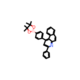 CC1(C)OB(c2ccc(-c3cc(-c4ccccc4)nc4ccc5ccccc5c34)cc2)OC1(C)C